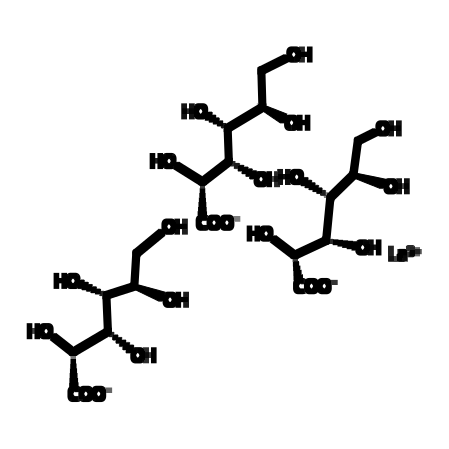 O=C([O-])[C@H](O)[C@@H](O)[C@H](O)[C@H](O)CO.O=C([O-])[C@H](O)[C@@H](O)[C@H](O)[C@H](O)CO.O=C([O-])[C@H](O)[C@@H](O)[C@H](O)[C@H](O)CO.[La+3]